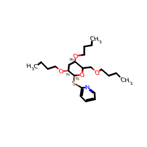 CCCCOCC1O[C@@H](Sc2ccccn2)[C@@H](OCCCC)C[C@H]1OCCCC